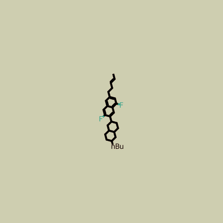 CC=CCCc1cc(F)c2cc(C3CCC4CC(CCCC)CCC4C3)c(F)cc2c1